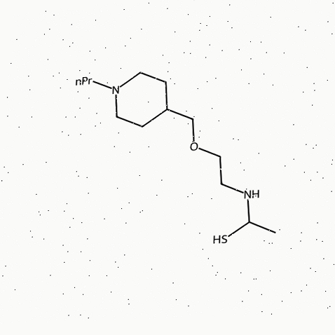 CCCN1CCC(COCCNC(C)S)CC1